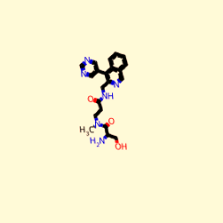 CN(CCC(=O)NCc1ncc2ccccc2c1-c1cncnc1)C(=O)C(N)CO